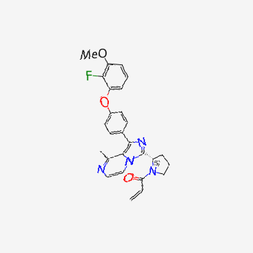 C=CC(=O)N1CCC[C@H]1c1nc(-c2ccc(Oc3cccc(OC)c3F)cc2)c2c(C)nccn12